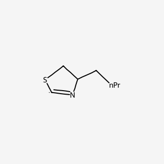 CCCCC1CS[C]=N1